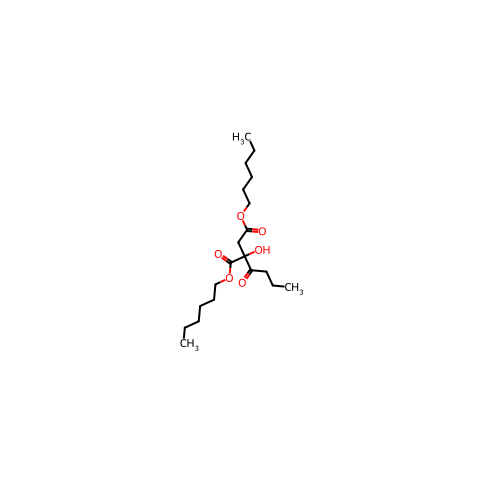 CCCCCCOC(=O)CC(O)(C(=O)CCC)C(=O)OCCCCCC